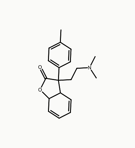 Cc1ccc(C2(CCN(C)C)C(=O)OC3C=CC=CC32)cc1